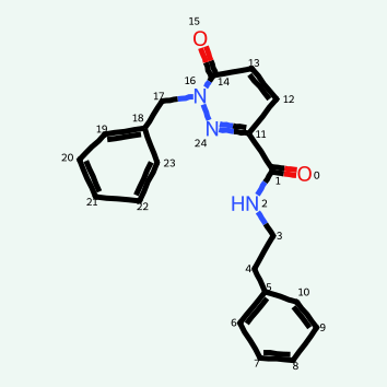 O=C(NCCc1ccccc1)c1ccc(=O)n(Cc2ccccc2)n1